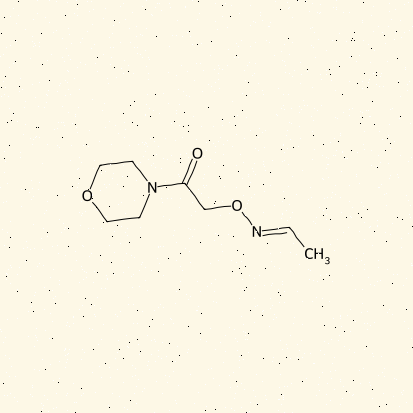 CC=NOCC(=O)N1CCOCC1